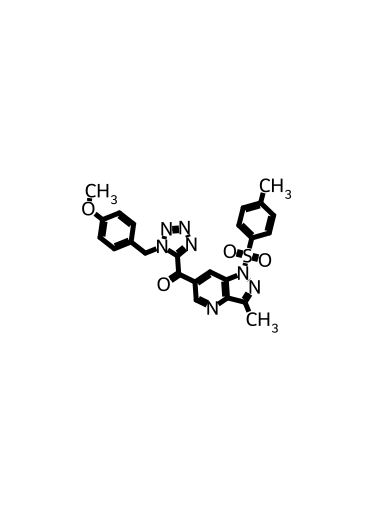 COc1ccc(Cn2nnnc2C(=O)c2cnc3c(C)nn(S(=O)(=O)c4ccc(C)cc4)c3c2)cc1